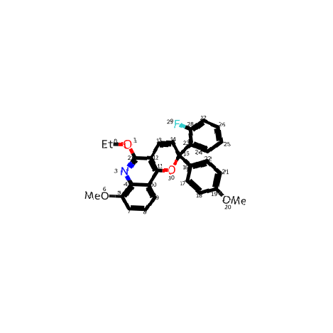 CCOc1nc2c(OC)cccc2c2c1C=CC(c1ccc(OC)cc1)(c1ccccc1F)O2